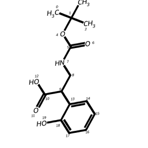 CC(C)(C)OC(=O)NCC(C(=O)O)c1ccccc1O